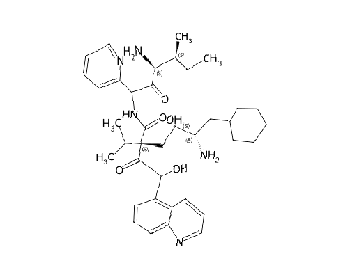 CC[C@H](C)[C@H](N)C(=O)C(NC(=O)[C@](C[C@H](O)[C@@H](N)CC1CCCCC1)(C(=O)C(O)c1cccc2ncccc12)C(C)C)c1ccccn1